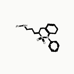 CC(C)NCCCC1CC2=C(CCC=C2)N(c2ccccc2)S1(=O)=O